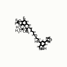 CC(C)(C)OC(=O)N(CCCCOCCNc1cc(-c2ncon2)cc2[nH]ncc12)Cc1cc(F)c(OC(F)(F)F)c(F)c1